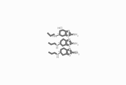 CCCN[C@H]1CCc2nc(N)sc2C1.CCCN[C@H]1CCc2nc(N)sc2C1.CCCN[C@H]1CCc2nc(N)sc2C1.Cl.Cl